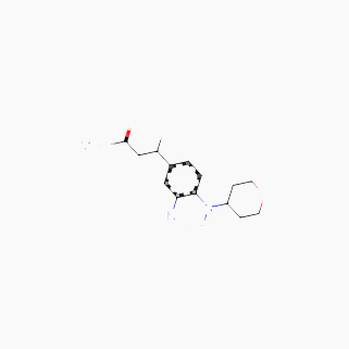 CCN(c1ccc(C(C)CC(=O)OC)cc1N)C1CCOCC1